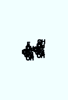 CC(C)(C)N(C(=O)O)C1=N[C@@]2(c3ccccc3F)CC[C@@H](F)C[C@H]2CS1.CC(C)(C)N(C(=O)O)C1=N[C@@]2(c3ccccc3F)CC[C@H](O)C[C@H]2CS1